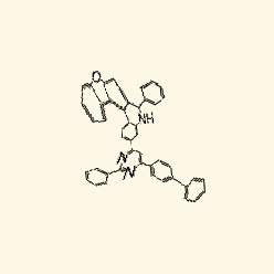 c1ccc(-c2ccc(-c3cc(-c4ccc5c(c4)NC(c4ccccc4)c4ccc6oc7ccccc7c6c4-5)nc(-c4ccccc4)n3)cc2)cc1